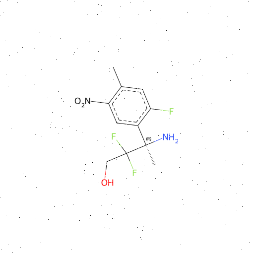 Cc1cc(F)c([C@@](C)(N)C(F)(F)CO)cc1[N+](=O)[O-]